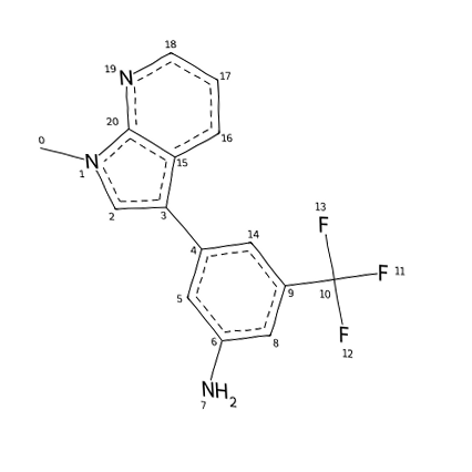 Cn1cc(-c2cc(N)cc(C(F)(F)F)c2)c2cccnc21